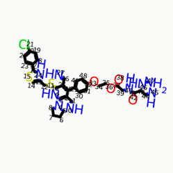 N=CC1=C(N2CCCC2)NC(SCC2=CSC(c3ccc(Cl)cc3)N2)C(C=N)=C1c1ccc(OCCOC(=O)CNC(=O)[C@H](C=N)NN)cc1